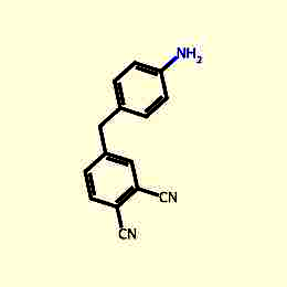 N#Cc1ccc(Cc2ccc(N)cc2)cc1C#N